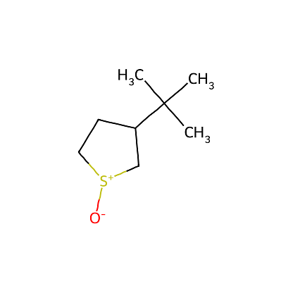 CC(C)(C)C1CC[S+]([O-])C1